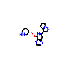 c1cnc2c(OC[C@H]3CCCNC3)nc(-c3cnn4c3CCC4)cc2n1